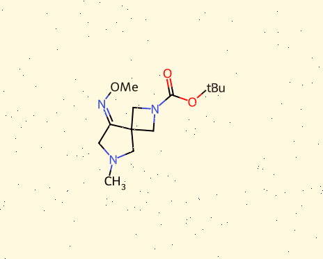 CO/N=C1/CN(C)CC12CN(C(=O)OC(C)(C)C)C2